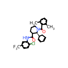 Cc1cccc(C)c1C(=O)N1CCCC(C(=O)Nc2cc(C(F)(F)F)ccc2Cl)[C@@H]1C1C=CC=CC1